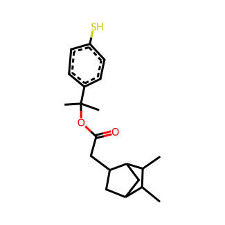 CC1C2CC(CC(=O)OC(C)(C)c3ccc(S)cc3)C(C2)C1C